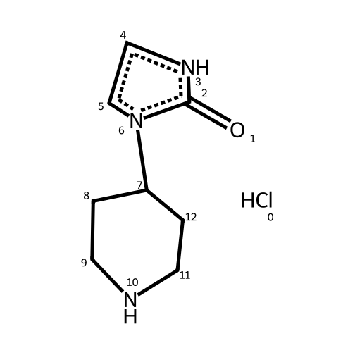 Cl.O=c1[nH]ccn1C1CCNCC1